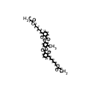 C=CC(=O)OCCCCCCC1C=CC=C(C(=O)Oc2ccc(OC(=O)C3=CC=CC(CCCCCCOC(=O)C=C)C3=O)c(C)c2)C1=O